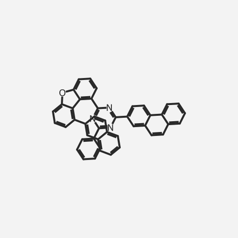 c1ccc(-c2nc(-c3ccc4c(ccc5ccccc54)c3)nc(-c3cccc4oc5cccc(-c6ccc7ccccc7c6)c5c34)n2)cc1